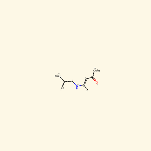 CCCCC(CC)CNC(C)=CC(=O)OC